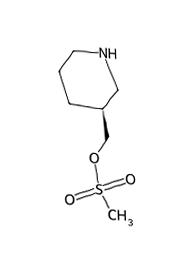 CS(=O)(=O)OC[C@H]1CCCNC1